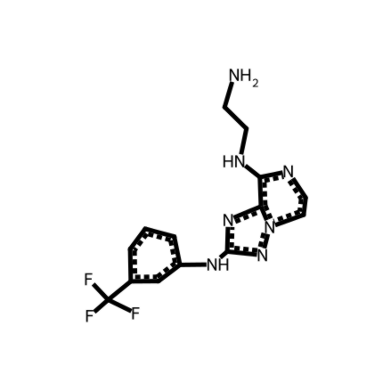 NCCNc1nccn2nc(Nc3cccc(C(F)(F)F)c3)nc12